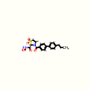 CCCc1ccc(-c2ccc(C(=O)N3CCS(=O)(=O)[C@@H]3C(=O)NO)cc2)cc1